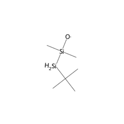 CC(C)(C)[SiH2][Si](C)(C)[O]